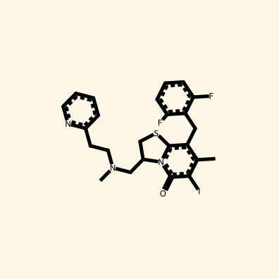 Cc1c(Cc2c(F)cccc2F)c2n(c(=O)c1I)C(CN(C)CCc1ccccn1)CS2